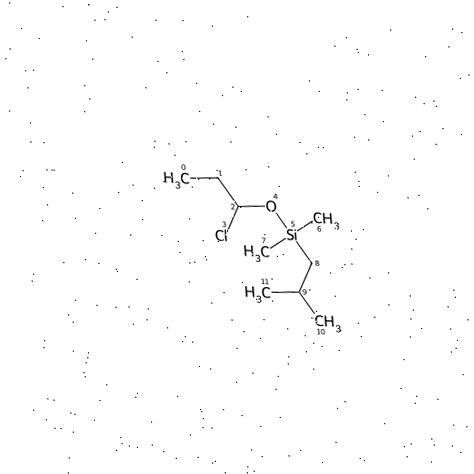 CCC(Cl)O[Si](C)(C)CC(C)C